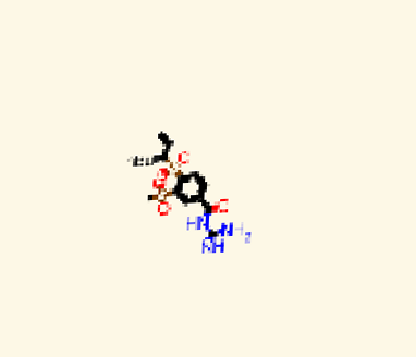 C=CC(CCCC)S(=O)(=O)c1ccc(C(=O)NC(=N)N)cc1S(C)(=O)=O